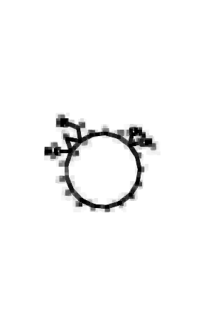 CC1(C)CCCCCCCCCCCC2(C)CC2(CS)CCC1